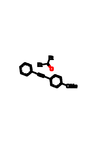 CCC(=O)CC.COc1ccc(C#Cc2ccccc2)cc1